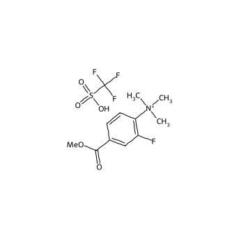 COC(=O)c1ccc([N+](C)(C)C)c(F)c1.O=S(=O)(O)C(F)(F)F